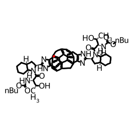 CCCCOC(=O)N[C@H](C(=O)N1[C@H](c2nc3cc(-c4cc5ccc4CCc4ccc(c(-c6ccc7[nH]c([C@@H]8C[C@@H]9CCCC[C@@H]9N8C(=O)[C@@H](NC(=O)OCCCC)[C@@H](C)O)nc7c6)c4)CC5)ccc3[nH]2)C[C@@H]2CCCC[C@@H]21)[C@@H](C)O